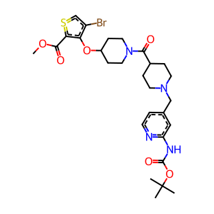 COC(=O)c1scc(Br)c1OC1CCN(C(=O)C2CCN(Cc3ccnc(NC(=O)OC(C)(C)C)c3)CC2)CC1